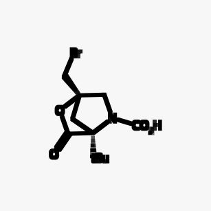 CC(C)(C)[C@]12C[C@@](CBr)(CN1C(=O)O)OC2=O